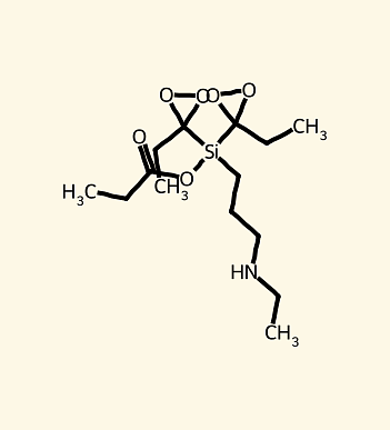 CCNCCC[Si](OC(=O)CC)(C1(CC)OO1)C1(CC)OO1